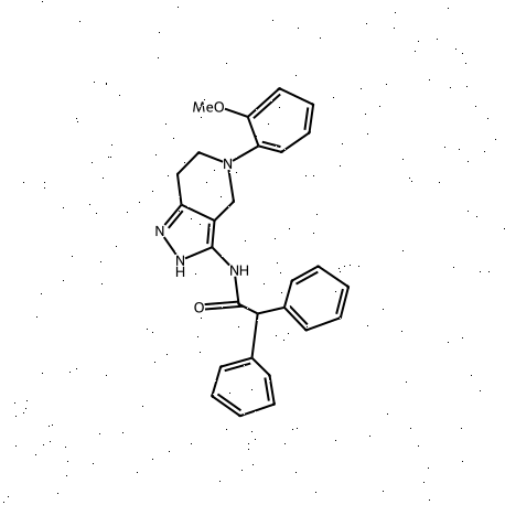 COc1ccccc1N1CCc2n[nH]c(NC(=O)C(c3ccccc3)c3ccccc3)c2C1